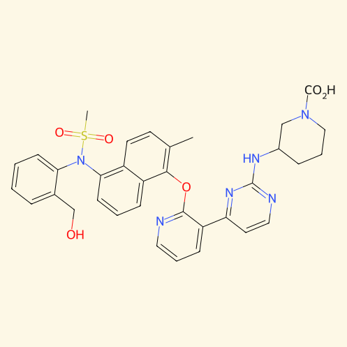 Cc1ccc2c(N(c3ccccc3CO)S(C)(=O)=O)cccc2c1Oc1ncccc1-c1ccnc(NC2CCCN(C(=O)O)C2)n1